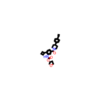 C#Cc1ccc(C2CCN(C(=O)c3ccc(C4CCC4)c(NC(=O)O[C@H]4CCOC4)c3)CC2)cc1